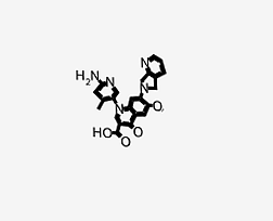 COc1cc2c(=O)c(C(=O)O)cn(-c3cnc(N)cc3C)c2cc1N1Cc2cccnc2C1